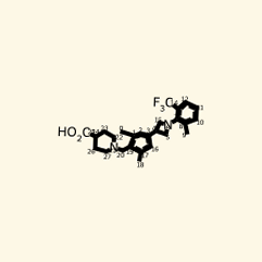 Cc1cc(C2CN(c3c(C)cccc3C(F)(F)F)C2)cc(C)c1CN1CCC(C(=O)O)CC1